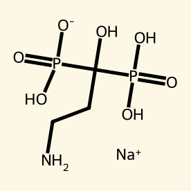 NCCC(O)(P(=O)([O-])O)P(=O)(O)O.[Na+]